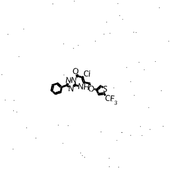 O=c1c(Cl)c(COc2csc(C(F)(F)F)c2)[nH]c2nc(-c3ccccc3)nn12